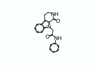 O=C(Cn1c2c(c3ccccc31)CCNC2=O)Nc1ccccc1